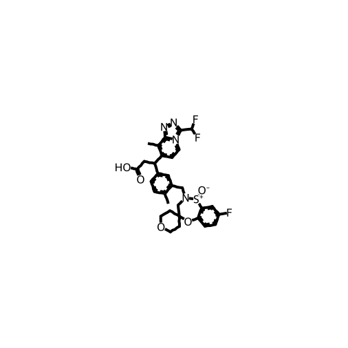 Cc1ccc(C(CC(=O)O)c2ccn3c(C(F)F)nnc3c2C)cc1CN1CC2(CCOCC2)Oc2ccc(F)cc2[S+]1[O-]